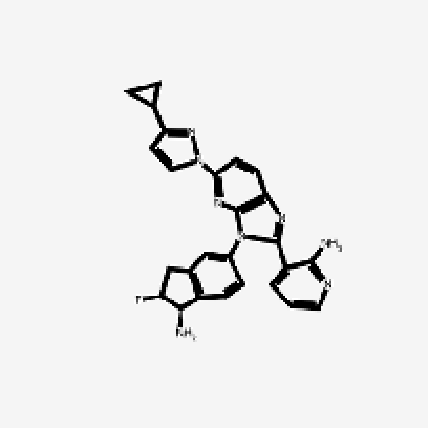 Nc1ncccc1-c1nc2ccc(-n3ccc(C4CC4)n3)nc2n1-c1ccc2c(c1)C[C@H](F)[C@@H]2N